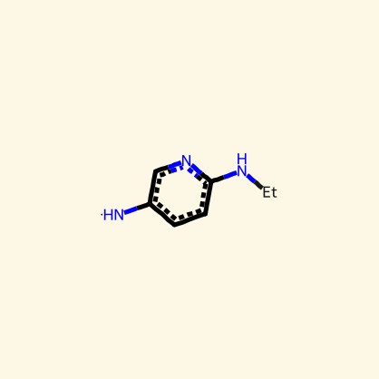 CCNc1ccc([NH])cn1